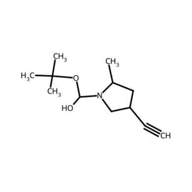 C#CC1CC(C)N(C(O)OC(C)(C)C)C1